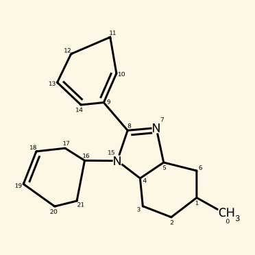 CC1CCC2C(C1)N=C(C1=CCCC=C1)N2C1CC=CCC1